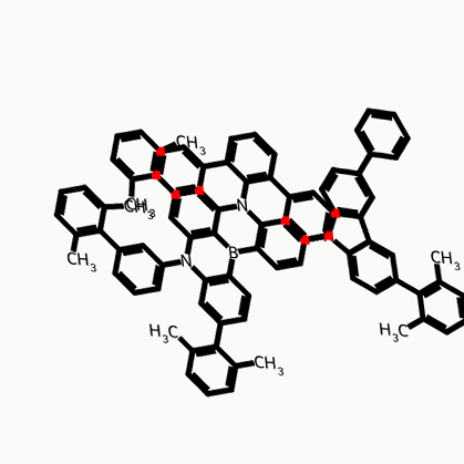 Cc1cccc(C)c1-c1cccc(N2c3cc(-c4c(C)cccc4C)ccc3B3c4ccc(-n5c6ccc(-c7ccccc7)cc6c6cc(-c7c(C)cccc7C)ccc65)cc4N(c4c(-c5ccccc5)cccc4-c4ccccc4)c4cc(-c5c(C)cccc5C)cc2c43)c1